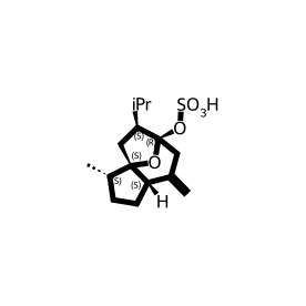 C=C1C[C@]2(OS(=O)(=O)O)O[C@@]3(C[C@H]2C(C)C)[C@@H](C)CC[C@@H]13